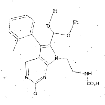 CCOC(OCC)c1c(-c2ccccc2C)c2cnc(Cl)nc2n1CCNC(=O)O